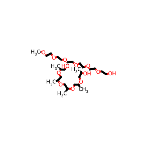 CC(O)COC(C)COC(C)COC(C)COC(C)CO.COCCOCCOCCOCCOCCOCCO